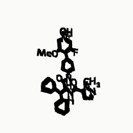 COc1c[n+](O)cc(F)c1-c1ccc(NC(=O)[C@@H](NC(=O)c2ccnn2C)C(c2ccccc2)c2ccccc2)cc1